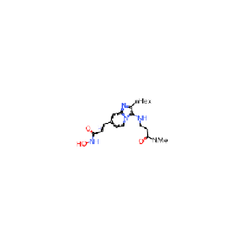 CCCCCCc1nc2cc(/C=C/C(=O)NO)ccn2c1NCCC(=O)NC